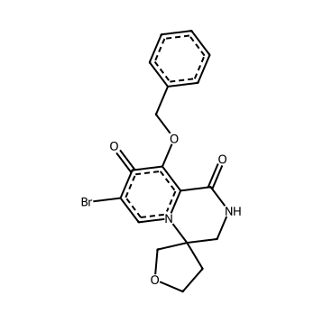 O=C1NCC2(CCOC2)n2cc(Br)c(=O)c(OCc3ccccc3)c21